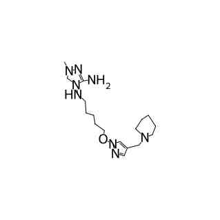 CN1CN(NCCCCCOn2cc(CN3CCCCC3)cn2)C(N)=N1